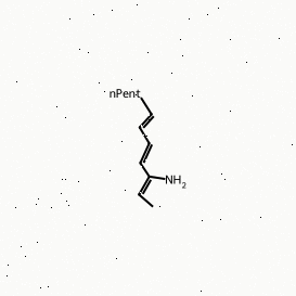 C/C=C(N)/C=C/C=C/CCCCC